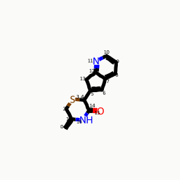 C=C1CSC(C2=Cc3cccnc3C2)C(=O)N1